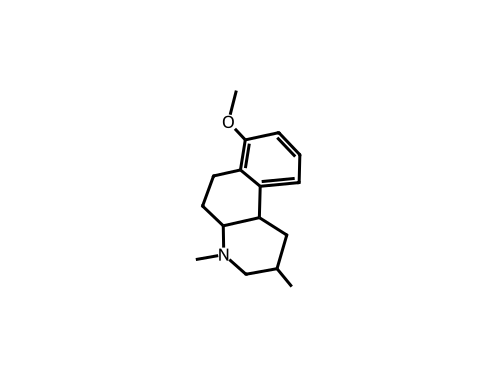 COc1cccc2c1CCC1C2CC(C)CN1C